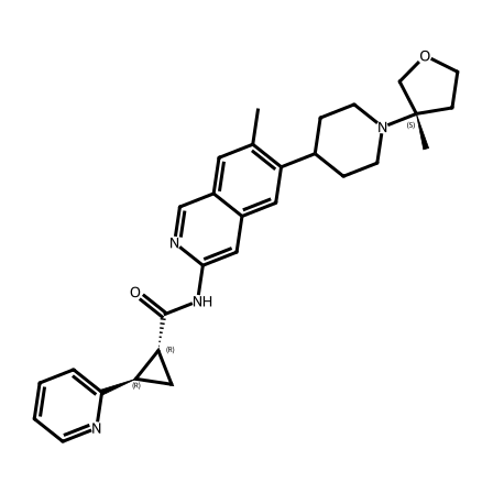 Cc1cc2cnc(NC(=O)[C@@H]3C[C@H]3c3ccccn3)cc2cc1C1CCN([C@@]2(C)CCOC2)CC1